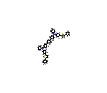 c1ccc(-c2ccc(-c3ccc(N(c4ccccc4)c4ccc(-c5ccc(-c6ccc(N(c7ccccc7)c7ccc(-c8ccc(-c9ccccc9)s8)cc7)cc6)cc5)cc4)cc3)s2)cc1